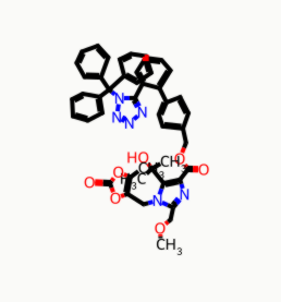 COCc1nc(C(=O)OCc2ccc(-c3ccccc3-c3nnnn3C(c3ccccc3)(c3ccccc3)c3ccccc3)cc2)c(C(C)(C)O)n1Cc1oc(=O)oc1C